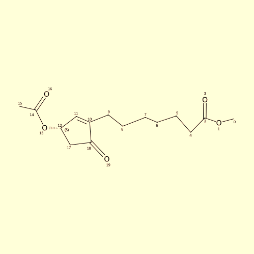 COC(=O)CCCCCCC1=C[C@@H](OC(C)=O)CC1=O